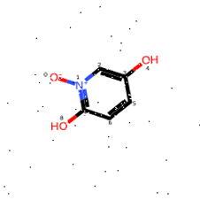 [O-][n+]1cc(O)ccc1O